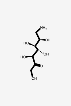 NC[C@@H](O)[C@H](O)[C@H](O)[C@H](O)C(=O)CO